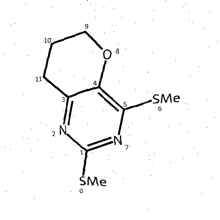 CSc1nc2c(c(SC)n1)OCCC2